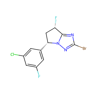 Fc1cc(Cl)cc([C@@H]2C[C@H](F)c3nc(Br)nn32)c1